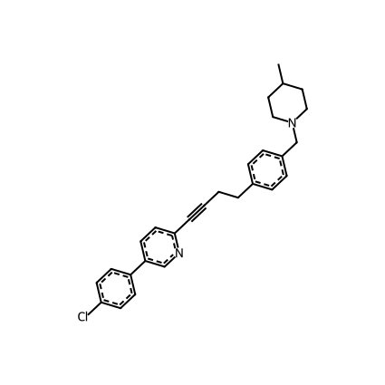 CC1CCN(Cc2ccc(CCC#Cc3ccc(-c4ccc(Cl)cc4)cn3)cc2)CC1